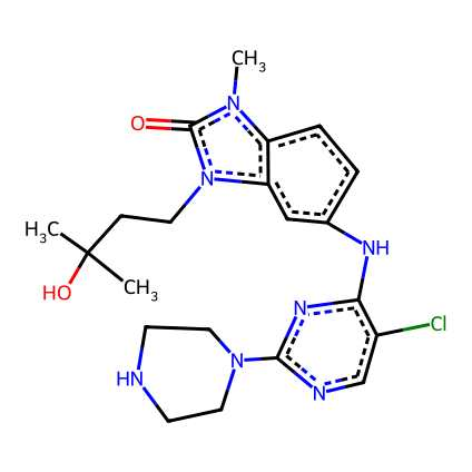 Cn1c(=O)n(CCC(C)(C)O)c2cc(Nc3nc(N4CCNCC4)ncc3Cl)ccc21